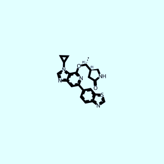 C[C@@H](Oc1nc(-c2ccc3ncsc3c2)cc2ncn(C3CC3)c12)[C@H]1CNC(=O)C1